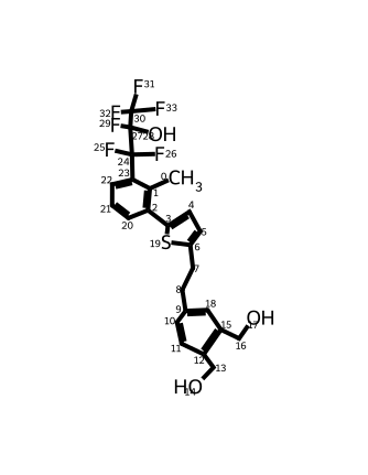 Cc1c(-c2ccc(CCc3ccc(CO)c(CO)c3)s2)cccc1C(F)(F)C(O)(F)C(F)(F)F